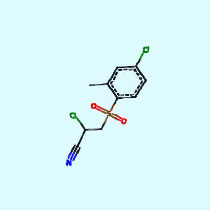 Cc1cc(Cl)ccc1S(=O)(=O)CC(Cl)C#N